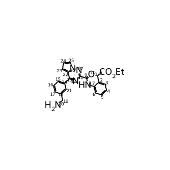 CCOC(=O)Cc1ccccc1NC(=O)c1nc(-c2cccc(CN)c2)c2cccn2n1